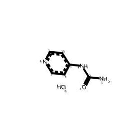 Cl.NC(=O)Nc1ccncc1